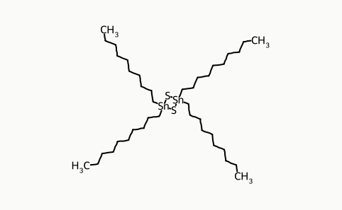 CCCCCCCCC[CH2][Sn]1([CH2]CCCCCCCCC)[S][Sn]([CH2]CCCCCCCCC)([CH2]CCCCCCCCC)[S]1